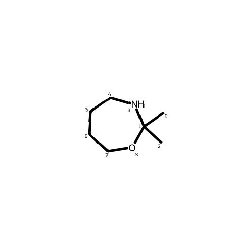 CC1(C)NCCCCO1